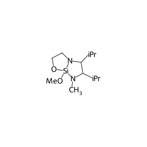 CO[Si]12OCCN1C(C(C)C)C(C(C)C)N2C